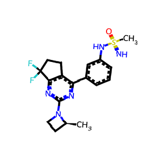 C[C@H]1CCN1c1nc(-c2cccc(NS(C)(=N)=O)c2)c2c(n1)C(F)(F)CC2